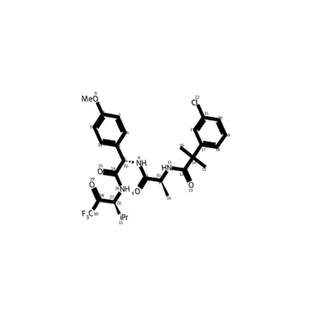 COc1ccc([C@H](NC(=O)[C@H](C)NC(=O)C(C)(C)c2cccc(Cl)c2)C(=O)N[C@H](C(=O)C(F)(F)F)C(C)C)cc1